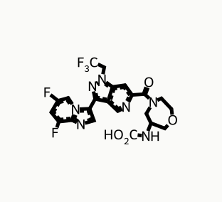 O=C(O)NC1COCCN(C(=O)c2cc3c(cn2)c(-c2cnc4c(F)cc(F)cn24)nn3CC(F)(F)F)C1